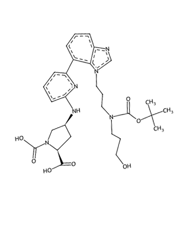 CC(C)(C)OC(=O)N(CCCO)CCCn1cnc2cccc(-c3cccc(N[C@H]4C[C@@H](C(=O)O)N(C(=O)O)C4)n3)c21